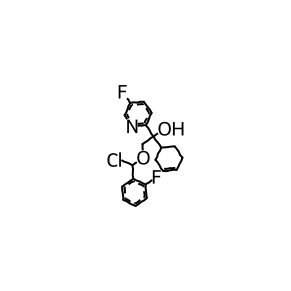 OC(COC(Cl)c1ccccc1F)(c1ccc(F)cn1)C1CC=CCC1